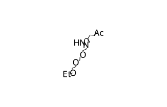 CCOCCOCCOCCN1C=C(CCC(C)=O)CN1